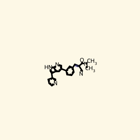 CN(C)C(=O)/C(C#N)=C/c1cccc(-c2cnc3[nH]cc(-c4cccnc4)c3c2)c1